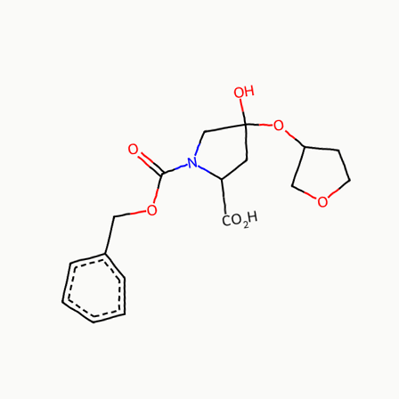 O=C(O)C1CC(O)(OC2CCOC2)CN1C(=O)OCc1ccccc1